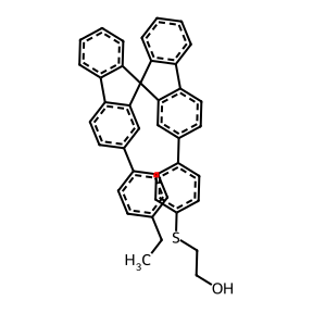 CCc1ccc(-c2ccc3c(c2)C2(c4ccccc4-3)c3ccccc3-c3ccc(-c4ccc(SCCO)cc4)cc32)cc1